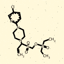 C=CC(N1CCN(c2ccc(Cl)cn2)CC1)S(=O)(=O)COP(=O)(CC)CC